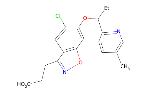 CCC(Oc1cc2onc(CCC(=O)O)c2cc1Cl)c1ccc(C)cn1